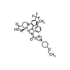 CCO[C@H]1CC[C@H](N2C[C@@H](C(=O)N3C[C@H](CC#N)[C@@H](c4ccc(C(F)(F)F)cc4N4CCC(C(=O)O)CC4)C3)[C@H](c3ccc(OC)cc3)C2)CC1